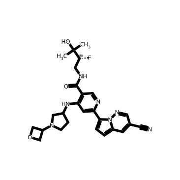 CC(C)(O)[C@H](F)CNC(=O)c1cnc(-c2ccc3cc(C#N)cnn23)cc1NC1CCN(C2COC2)C1